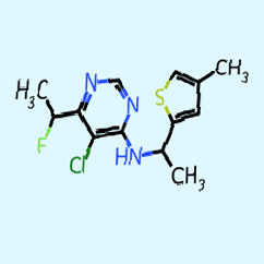 Cc1csc(C(C)Nc2ncnc(C(C)F)c2Cl)c1